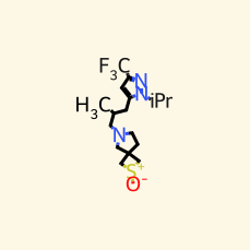 CC(Cc1cc(C(F)(F)F)nn1C(C)C)CN1CCC2(C1)C[S+]([O-])C2